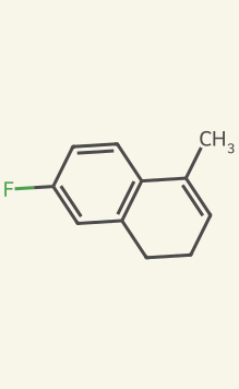 CC1=CCCc2cc(F)ccc21